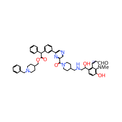 CNc1c(O)ccc(C(O)CNCC2CCN(C(=O)c3cncc(-c4cccc(C(C(=O)OCC5CCN(Cc6ccccc6)CC5)c5ccccc5)c4)n3)CC2)c1/C=C\C=O